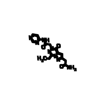 CCc1nn(CC(=O)Nc2ccncn2)c(=O)c2cc(CC(N)=O)nn12